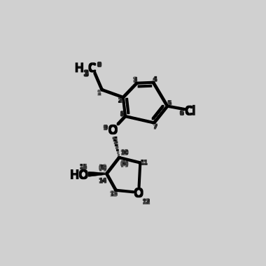 CCc1ccc(Cl)cc1O[C@@H]1COC[C@H]1O